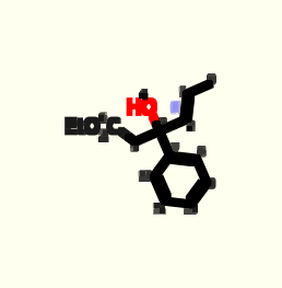 C/C=C/C(O)(CC(=O)OCC)c1ccccc1